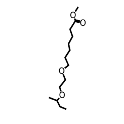 CCC(C)OCCOCCCCCCC(=O)OC